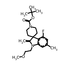 C=C1N(CCOC)c2cc(C)cc(F)c2C12CCN(C(=O)OC(C)(C)C)CC2